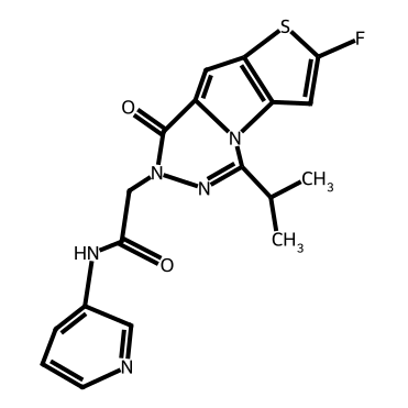 CC(C)c1nn(CC(=O)Nc2cccnc2)c(=O)c2cc3sc(F)cc3n12